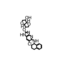 O[C@@H]1CO[C@H]2[C@@H]1OC[C@H]2Oc1nc2nc(NC3CCCc4ccccc43)c(Cl)cc2[nH]1